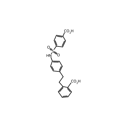 O=C(O)c1ccc(S(=O)(=O)Nc2ccc(CCc3ccccc3C(=O)O)cc2)cc1